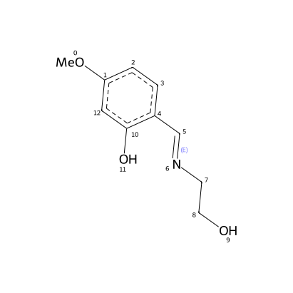 COc1ccc(/C=N/CCO)c(O)c1